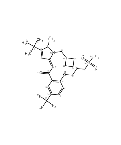 Cn1c(C(C)(C)C)c/c(=N\C(=O)c2cc(C(F)(F)F)ccc2OCCCS(C)(=O)=O)n1CC1CCC1